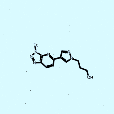 CCn1nnc2ccc(-c3cnn(CCCO)c3)nc21